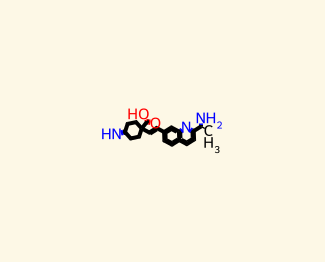 C[C@@H](N)c1ccc2ccc(/C=C/C3(C(=O)O)CCC(=N)CC3)cc2n1